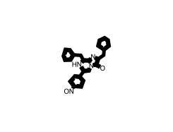 O=Nc1ccc(-c2cn3c(=O)c(Cc4ccccc4)nc-3c(Cc3ccccc3)[nH]2)cc1